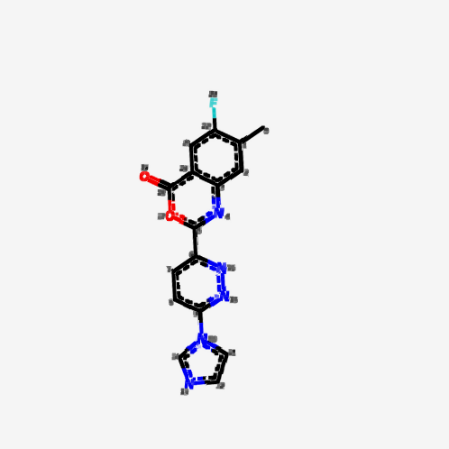 Cc1cc2nc(-c3ccc(-n4ccnc4)nn3)oc(=O)c2cc1F